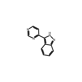 c1ccc2c(-c3ccncn3)[nH]nc2c1